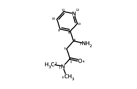 CN(C)C(=O)CC(N)c1cccnc1